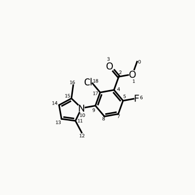 COC(=O)c1c(F)ccc(-n2c(C)ccc2C)c1Cl